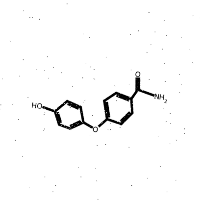 NC(=O)c1ccc(Oc2ccc(O)cc2)cc1